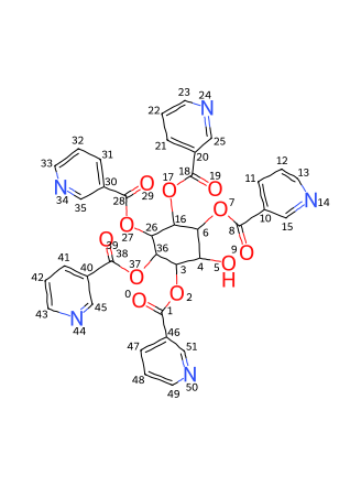 O=C(OC1C(O)C(OC(=O)c2cccnc2)C(OC(=O)c2cccnc2)C(OC(=O)c2cccnc2)C1OC(=O)c1cccnc1)c1cccnc1